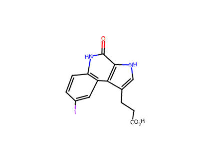 O=C(O)CCc1c[nH]c2c(=O)[nH]c3ccc(I)cc3c12